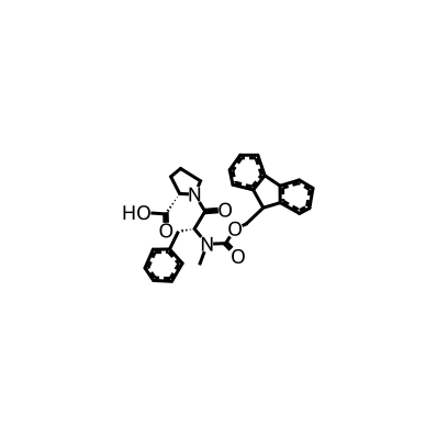 CN(C(=O)OCC1c2ccccc2-c2ccccc21)[C@H](Cc1ccccc1)C(=O)N1CCC[C@H]1C(=O)O